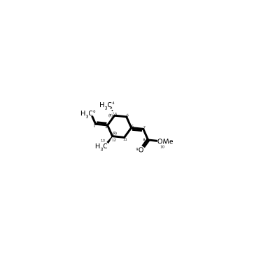 CC=C1[C@H](C)CC(=CC(=O)OC)C[C@H]1C